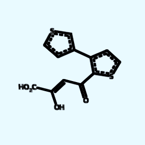 O=C(O)C(O)=CC(=O)c1sccc1-c1ccsc1